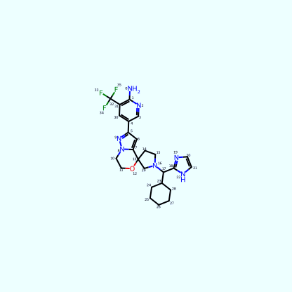 Nc1ncc(-c2cc3n(n2)CCOC32CCN(C(c3ncc[nH]3)C3CCCCC3)C2)cc1C(F)(F)F